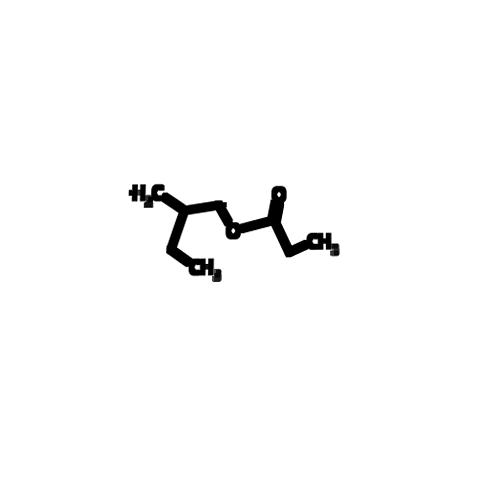 [CH2]C([CH]OC(=O)CC)CC